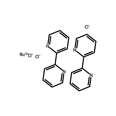 [Cl-].[Cl-].[Cl-].[Ru+3].c1ccc(-c2ccccn2)nc1.c1ccc(-c2ccccn2)nc1